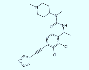 CC(NC(=O)N(C)C1CCN(C)CC1)c1ccc(C#Cc2ccsc2)c(Cl)c1Cl